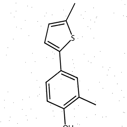 Cc1ccc(-c2ccc(O)c(C)c2)s1